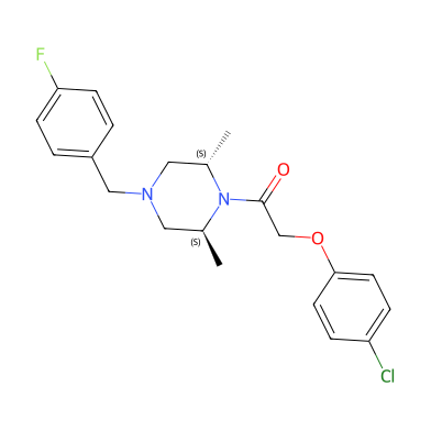 C[C@H]1CN(Cc2ccc(F)cc2)C[C@H](C)N1C(=O)COc1ccc(Cl)cc1